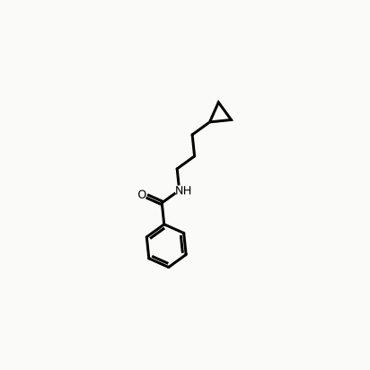 O=C(NCCCC1CC1)c1ccccc1